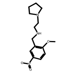 COc1ccc([N+](=O)[O-])cc1CNCCN1CCCC1